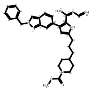 COC(=O)N1CCC(CCCc2cc(-c3ccc4cn(Cc5ccccc5)nc4c3)c(/C(N)=N\C=N)[nH]2)CC1